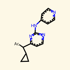 CC(=O)C(c1ccnc(Nc2ccncc2)n1)C1CC1